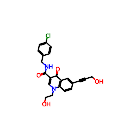 O=C(NCc1ccc(Cl)cc1)c1cn(CCO)c2ccc(C#CCO)cc2c1=O